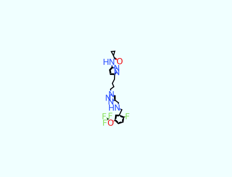 O=C(Nc1ccc(CCCCn2cc(CNCc3cc(OC(F)(F)F)ccc3F)nn2)nn1)C1CC1